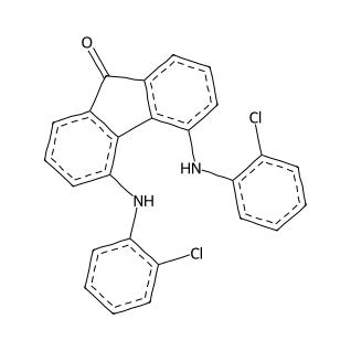 O=C1c2cccc(Nc3ccccc3Cl)c2-c2c(Nc3ccccc3Cl)cccc21